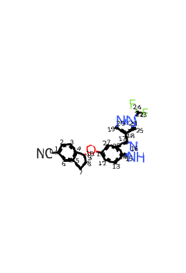 N#Cc1ccc2c(c1)CC[C@@H]2Oc1ccc2[nH]nc(-c3cnn(C(F)F)c3)c2c1